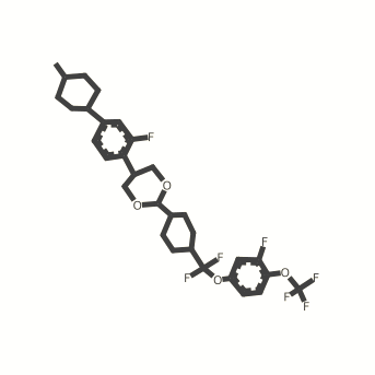 CC1CCC(c2ccc(C3COC(C4CCC(C(F)(F)Oc5ccc(OC(F)(F)F)c(F)c5)CC4)OC3)c(F)c2)CC1